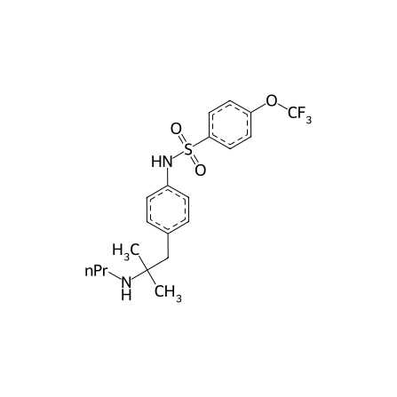 CCCNC(C)(C)Cc1ccc(NS(=O)(=O)c2ccc(OC(F)(F)F)cc2)cc1